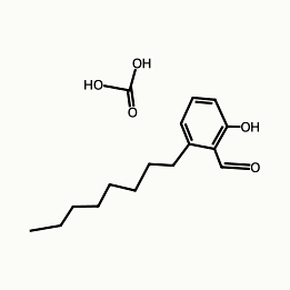 CCCCCCCCc1cccc(O)c1C=O.O=C(O)O